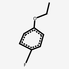 C[CH]Oc1ccc(F)cc1